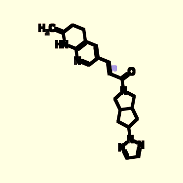 C=C1CCc2cc(/C=C/C(=O)N3CC4CC(n5nccn5)CC4C3)cnc2N1